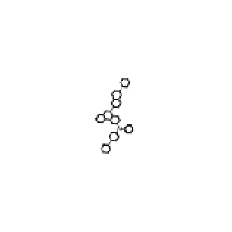 c1ccc(-c2ccc(N(c3ccccc3)c3ccc4c(-c5ccc6cc(-c7ccccc7)ccc6c5)cc5ccccc5c4c3)cc2)cc1